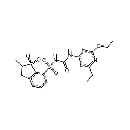 CCOc1nc(CC)nc(NC(=O)NS(=O)(=O)c2cccc3c2S(=O)(=O)C(C)C3)n1